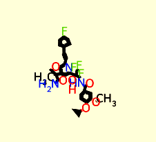 COc1cc(C(=O)NCC(O)(c2cc3c(c(C#Cc4ccc(F)cc4)n2)OC[C@]3(C)C(N)=O)C(F)(F)F)ccc1OC1CC1